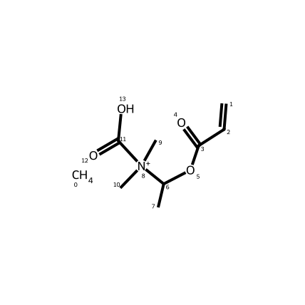 C.C=CC(=O)OC(C)[N+](C)(C)C(=O)O